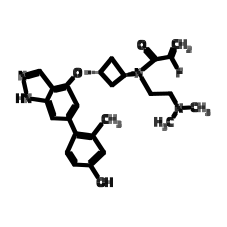 C=C(F)C(=O)N(CCN(C)C)[C@H]1C[C@H](Oc2cc(-c3ccc(O)cc3C)cc3[nH]ncc23)C1